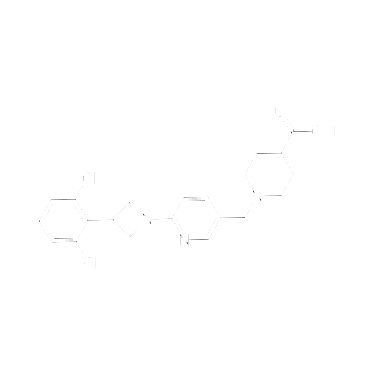 O=C(O)C1CCN(Cc2ccc(N3CC(c4c(Cl)cccc4Cl)C3)nc2)CC1